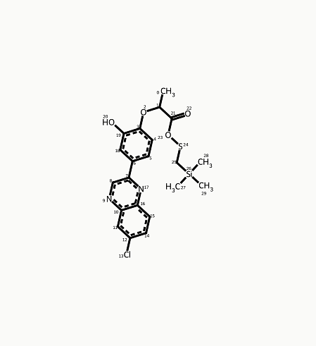 CC(Oc1ccc(-c2cnc3cc(Cl)ccc3n2)cc1O)C(=O)OSC[Si](C)(C)C